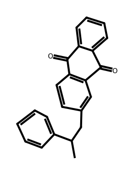 CC(Cc1ccc2c(c1)C(=O)c1ccccc1C2=O)c1ccccc1